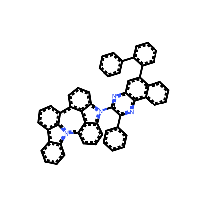 c1ccc(-c2ccccc2-c2cc3nc(-n4c5cccc6c7cccc8c9ccccc9n(c9cccc4c9c65)c78)c(-c4ccccc4)nc3c3ccccc23)cc1